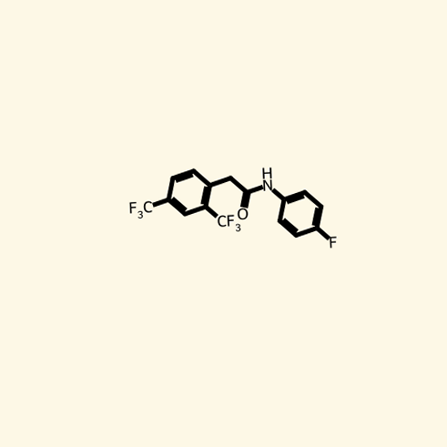 O=C(Cc1ccc(C(F)(F)F)cc1C(F)(F)F)Nc1ccc(F)cc1